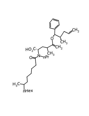 C=CC[C@@H](C)[C@@H](OC(=C)C(C)C[C@@H](C(=O)O)N(CCC)C(=O)CCCCCC(C)CCCCCC)c1ccccc1